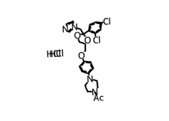 CC(=O)N1CCN(c2ccc(OCC3COC(Cn4ccnc4)(c4ccc(Cl)cc4Cl)O3)cc2)CC1.Cl.Cl